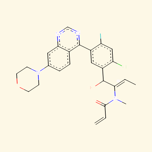 C=CC(=O)N(C)/C(=C\C)C(O)c1cc(-c2ncnc3cc(N4CCOCC4)ccc23)c(F)cc1Cl